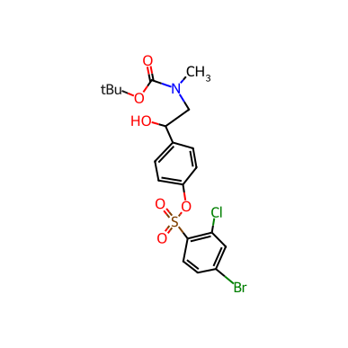 CN(CC(O)c1ccc(OS(=O)(=O)c2ccc(Br)cc2Cl)cc1)C(=O)OC(C)(C)C